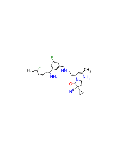 C/C(N)=C/C(=C\CNCc1cc(F)cc(/C(N)=C/C=C\C(C)F)c1)N1CCC(C#N)(C2CC2)C1=O